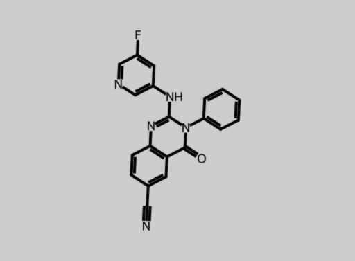 N#Cc1ccc2nc(Nc3cncc(F)c3)n(-c3ccccc3)c(=O)c2c1